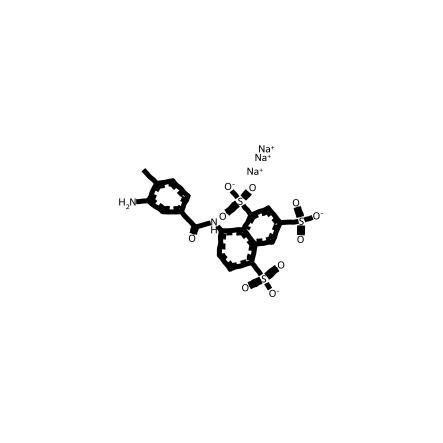 Cc1ccc(C(=O)Nc2ccc(S(=O)(=O)[O-])c3cc(S(=O)(=O)[O-])cc(S(=O)(=O)[O-])c23)cc1N.[Na+].[Na+].[Na+]